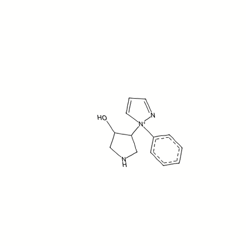 OC1CNCC1[N+]1(c2ccccc2)C=CC=N1